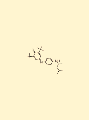 CC(C)CC(C)Nc1ccc(N=C2C=C(C(C)(C)C)C(=O)C(C(C)(C)C)=C2)cc1